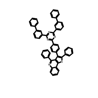 c1ccc(-c2cccc(-c3nc(-c4ccc(-c5c(-c6ccccc6)sc6c5c(-c5ccccc5)nc5ccccc56)cc4)nc(-c4cccc(-c5ccccc5)c4)n3)c2)cc1